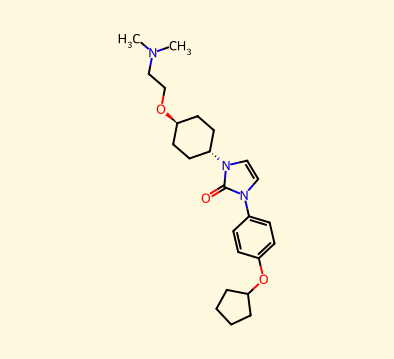 CN(C)CCO[C@H]1CC[C@H](n2ccn(-c3ccc(OC4CCCC4)cc3)c2=O)CC1